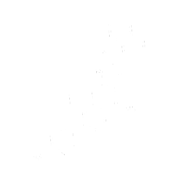 COc1ccc(-c2ccc(C)nc2)c2c1C(C(=O)NS(=O)(=O)c1cccc3ccccc13)CCC2